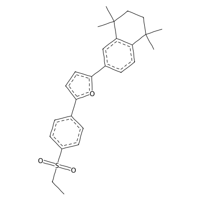 CCS(=O)(=O)c1ccc(-c2ccc(-c3ccc4c(c3)C(C)(C)CCC4(C)C)o2)cc1